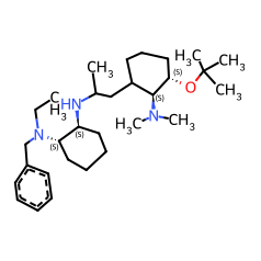 CCN(Cc1ccccc1)[C@H]1CCCC[C@@H]1NC(C)CC1CCC[C@H](OC(C)(C)C)[C@H]1N(C)C